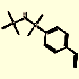 C=Cc1ccc([Si](C)(C)N[Si](C)(C)C)cc1